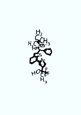 CC(C)(C)[S+]([O-])NC(c1ccccc1)c1cc2cccc(-c3cc(C(C)(O)C(F)(F)F)ccn3)c2s1